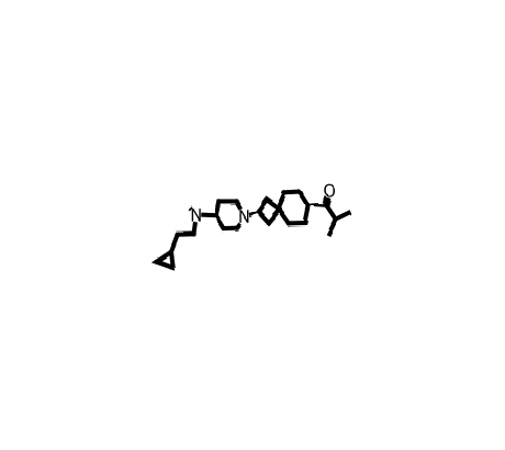 CC(C)C(=O)[C@H]1CCC2(CC1)C[C@H](N1CCC(N(C)CCC3CC3)CC1)C2